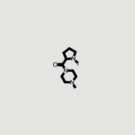 CN1CCN(C(=O)C2CCCN2I)CC1